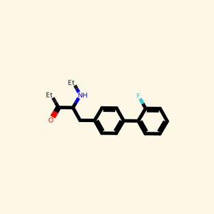 CCNC(Cc1ccc(-c2ccccc2F)cc1)C(=O)CC